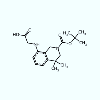 CC(C)(C)OC(=O)N1Cc2c(NCC(=O)O)cccc2C(C)(C)C1